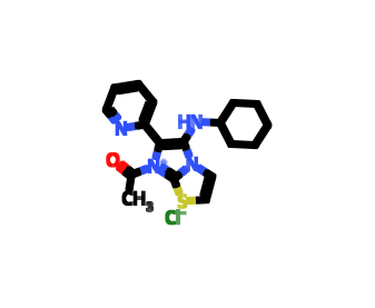 CC(=O)[n+]1c(-c2ccccn2)c(NC2CCCCC2)n2ccsc21.[Cl-]